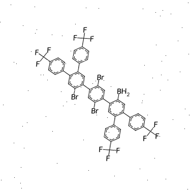 Bc1cc(-c2ccc(C(F)(F)F)cc2)c(-c2ccc(C(F)(F)F)cc2)cc1-c1cc(Br)c(-c2cc(-c3ccc(C(F)(F)F)cc3)c(-c3ccc(C(F)(F)F)cc3)cc2Br)cc1Br